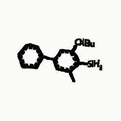 Cc1cc(-c2ccccc2)cc(OCC(C)C)c1[SiH3]